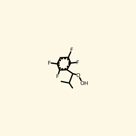 CC(C)C(OO)c1c(F)c(F)cc(F)c1F